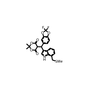 CSCc1cccc2c(C(c3ccc4c(c3)OC(F)(F)O4)C3C(=O)OC(C)(C)OC3=O)c[nH]c12